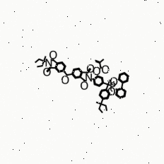 C=C(C)C(=O)Oc1cc(C(C)(c2ccc(C(C)(CC)CC)cc2)P2(=O)Oc3ccccc3-c3ccccc32)ccc1N1C(=O)c2ccc(C(=O)c3ccc4c(c3)C(=O)N(C(C)(CC)CC)C4=O)cc2C1=O